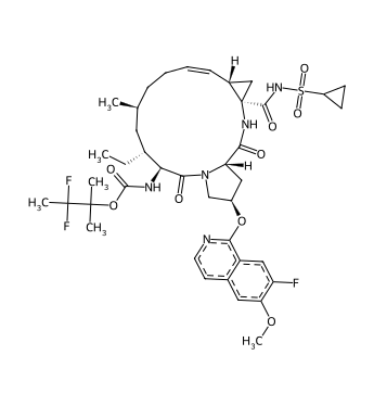 CC[C@@H]1C[C@@H](C)CC/C=C\[C@@H]2C[C@@]2(C(=O)NS(=O)(=O)C2CC2)NC(=O)[C@@H]2C[C@@H](Oc3nccc4cc(OC)c(F)cc34)CN2C(=O)[C@H]1NC(=O)OC(C)(C)C(C)(F)F